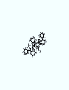 NC1CCCCC1C(CCNC1CCC2C3CCCC(C4CCCCC4)C3SC2C1C1CCCCC1)C1CCCCC1